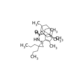 CCC[C]1(CCC)[CH2][Ti]1([NH]C(=O)C12CC3CC(C)(CC(C)(C3)C1)C2)[C]1=C(C)C(C)=C(C)C1C